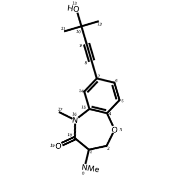 CNC1COc2ccc(C#CC(C)(C)O)cc2N(C)C1=O